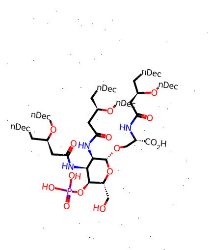 CCCCCCCCCCC[C@H](CC(=O)N[C@H]1[C@H](OC[C@H](NC(=O)C[C@@H](CCCCCCCCCCC)OCCCCCCCCCC)C(=O)O)O[C@H](CO)[C@@H](OP(=O)(O)O)[C@H]1NC(=O)C[C@@H](CCCCCCCCCCC)OCCCCCCCCCC)OCCCCCCCCCC